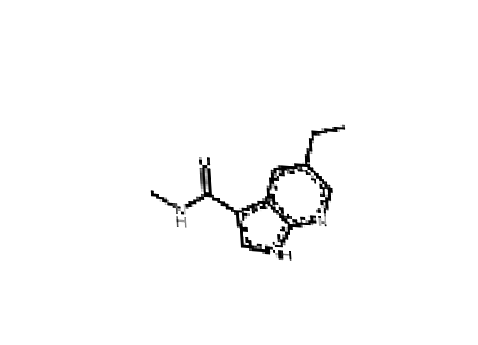 CCc1cnc2[nH]cc(C(=O)NC)c2c1